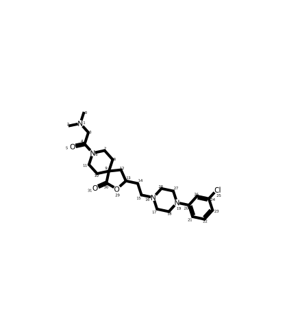 CN(C)CC(=O)N1CCC2(CC1)CC(CCN1CCN(c3cccc(Cl)c3)CC1)OC2=O